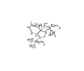 C[Si](C)(C)C1CC([Si](C)(C)C)C2C=CC=CC21